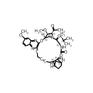 COc1ccc2nc3c(nc2c1)O[C@H]1CN(C(=O)[C@H](C(C)(C)C)NC(=O)O[C@@H]2[C@H]4CC[C@H](C4)[C@H]2CCCCC3)[C@H](C(C)=O)[C@@H]1OC